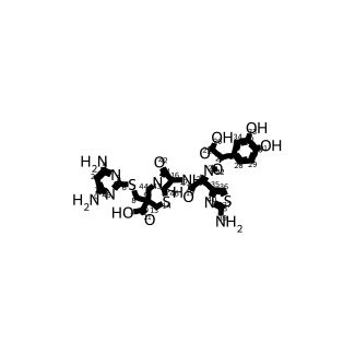 Nc1cc(N)nc(SCC2(C(=O)O)CS[C@@H]3C(NC(=O)C(=NO[C@H](C(=O)O)c4ccc(O)c(O)c4)c4csc(N)n4)C(=O)N3C2)n1